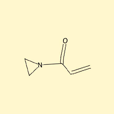 C=CC(=O)N1CC1